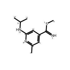 CSC(=N)c1cc(C)nc(NC(C)C)c1